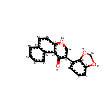 O=c1c(-c2cccc3c2OCO3)coc2ccc3ccccc3c12